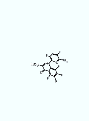 CCOC(=O)c1cn(-c2nc(N)c(F)cc2F)c2c(F)c(F)c(F)c(F)c2c1=O